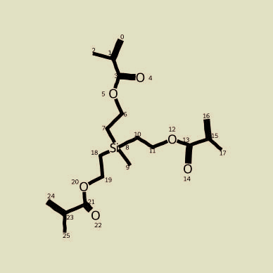 C=C(C)C(=O)OCC[Si](C)(CCOC(=O)C(=C)C)CCOC(=O)C(=C)C